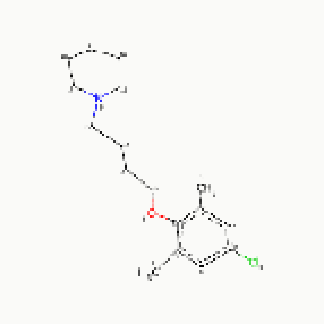 Cc1cc(Cl)cc(C)c1OCCCCN1CCCCC1